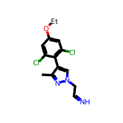 CCOc1cc(Cl)c(-c2[c]n(CC=N)nc2C)c(Cl)c1